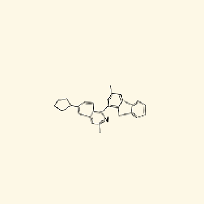 Cc1cc2c(c(-c3nc(C)cc4cc(C5CCCC5)ccc34)c1)Cc1ccccc1-2